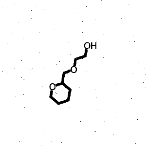 OCCOCC1CCCCO1